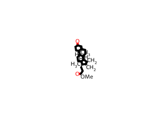 C=C1C(=C)[C@H]2[C@@H]3CCC4=CC(=O)CC[C@]4(C)[C@H]3CC[C@]2(C)[C@@H]1CCC(=O)OC